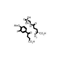 COc1ccc(C(=O)CCC(=O)O)cc1F.N[C@H](CCC(=O)NCP(=O)(O)O)C(=O)O